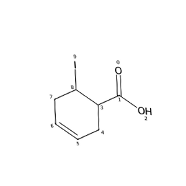 O=C(O)C1CC=CCC1I